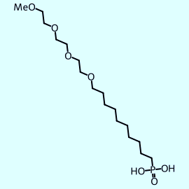 COCCOCCOCCOCCCCCCCCCCP(=O)(O)O